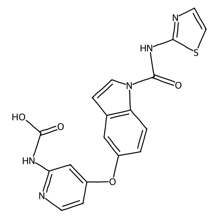 O=C(O)Nc1cc(Oc2ccc3c(ccn3C(=O)Nc3nccs3)c2)ccn1